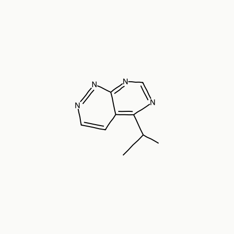 CC(C)c1ncnc2nnccc12